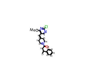 COc1nc(Cl)ncc1C=C1CCN(C(=O)CC(C)c2ccccc2)CC1